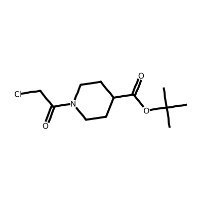 CC(C)(C)OC(=O)C1CCN(C(=O)CCl)CC1